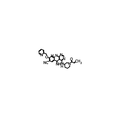 C=CC(=O)N1CCCC(Nc2ncnc(N)c2C(=N)c2ccc(OCc3ccccn3)c(C#N)c2)C1